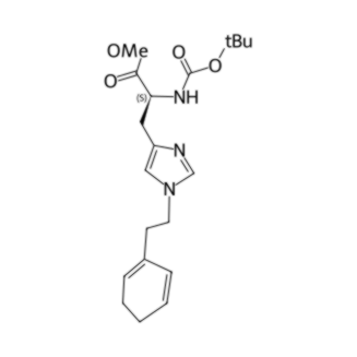 COC(=O)[C@H](Cc1cn(CCC2=CCCC=C2)cn1)NC(=O)OC(C)(C)C